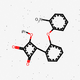 CC(C)Oc1c(-c2ccccc2Oc2ccccc2[N+](=O)[O-])c(=O)c1=O